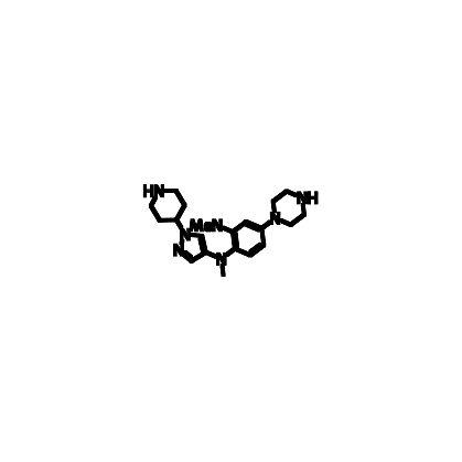 CNc1cc(N2CCNCC2)ccc1N(C)c1cnn(C2CCNCC2)c1